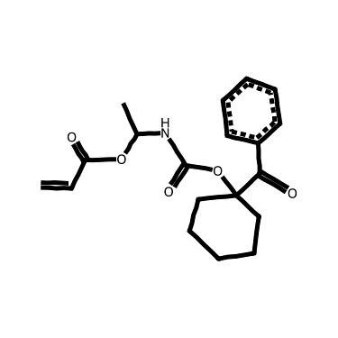 C=CC(=O)OC(C)NC(=O)OC1(C(=O)c2ccccc2)CCCCC1